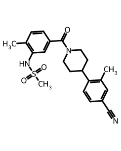 Cc1ccc(C(=O)N2CCC(c3ccc(C#N)cc3C)CC2)cc1NS(C)(=O)=O